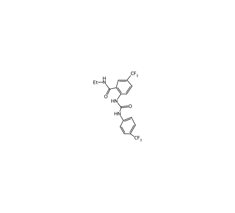 CCNC(=O)c1cc(C(F)(F)F)ccc1NC(=O)Nc1ccc(C(F)(F)F)cc1